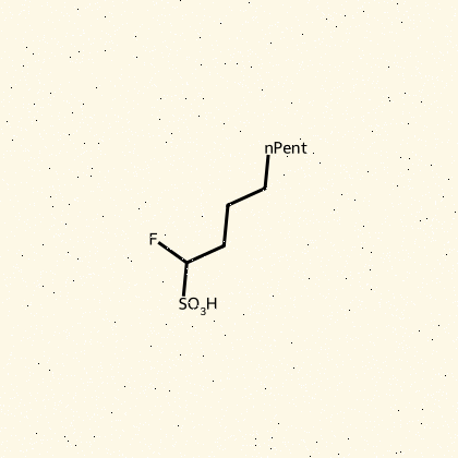 CCCCCCCCC(F)S(=O)(=O)O